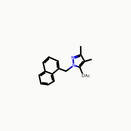 CC(=O)Oc1c(C)c(C)nn1Cc1cccc2ccccc12